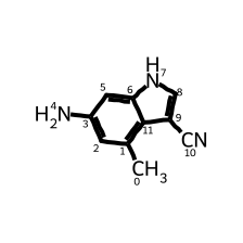 Cc1cc(N)cc2[nH]cc(C#N)c12